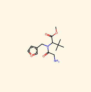 COC(=O)C(N(Cc1ccoc1)C(=O)CN)C(C)(C)C